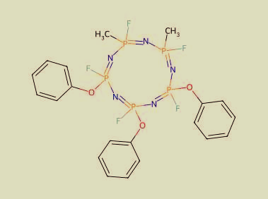 CP1(F)=NP(C)(F)=NP(F)(Oc2ccccc2)=NP(F)(Oc2ccccc2)=NP(F)(Oc2ccccc2)=N1